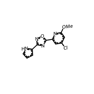 COc1cc(Cl)cc(-c2nc(-c3ccc[nH]3)no2)n1